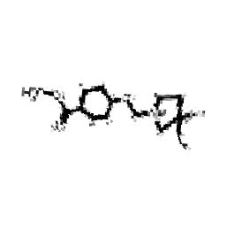 COC(=O)C1CCC(OCN2CCC(F)(F)C2)CC1